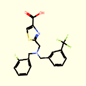 O=C(O)c1csc(CN(Cc2cccc(C(F)(F)F)c2)Cc2ccccc2F)n1